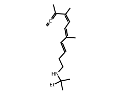 C=C=C(C)\C(C)=C/C=C(C)/C=C/CCNC(C)(C)CC